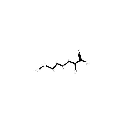 COCCOCC(O)C(=O)O